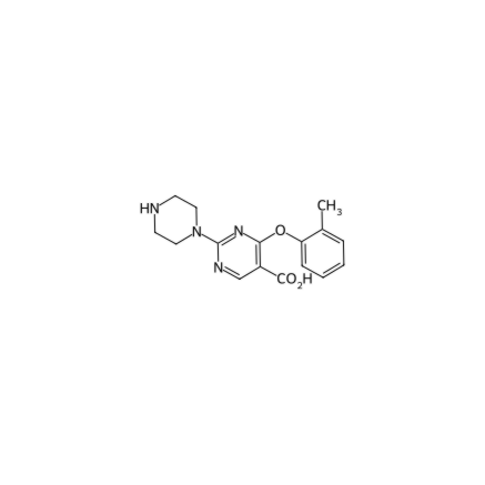 Cc1ccccc1Oc1nc(N2CCNCC2)ncc1C(=O)O